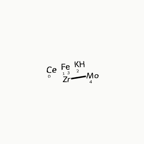 [Ce].[Fe].[KH].[Zr][Mo]